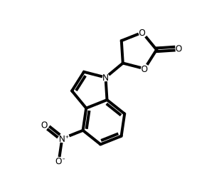 O=C1OCC(n2ccc3c([N+](=O)[O-])cccc32)O1